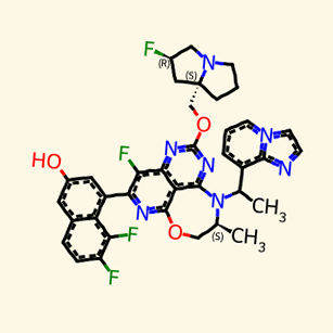 CC(c1cccn2ccnc12)N1c2nc(OC[C@@]34CCCN3C[C@H](F)C4)nc3c(F)c(-c4cc(O)cc5ccc(F)c(F)c45)nc(c23)OC[C@@H]1C